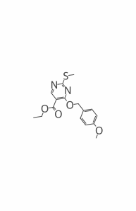 CCOC(=O)c1cnc(SC)nc1OCc1ccc(OC)cc1